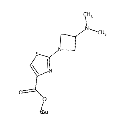 CN(C)C1CN(c2nc(C(=O)OC(C)(C)C)cs2)C1